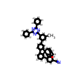 Cc1cc(-c2ccc3c(c2)C2(c4c(-c5ccc(C#N)cc5)cccc4-3)C3CC4CC(C3)CC2C4)cc(-c2nc(-c3ccccc3)nc(-c3ccccc3)n2)c1